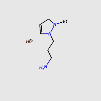 Br.CCN1CC=CN1CCCN